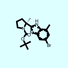 Cc1cc(Br)cc2nc([C@]3(C)CCCN3C(=O)OC(C)(C)C)[nH]c12